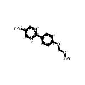 CCCOCOc1ccc(-c2ncc(CCC)cn2)cc1